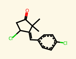 CC1(C)C(=O)CC(Cl)C1=Cc1ccc(Cl)cc1